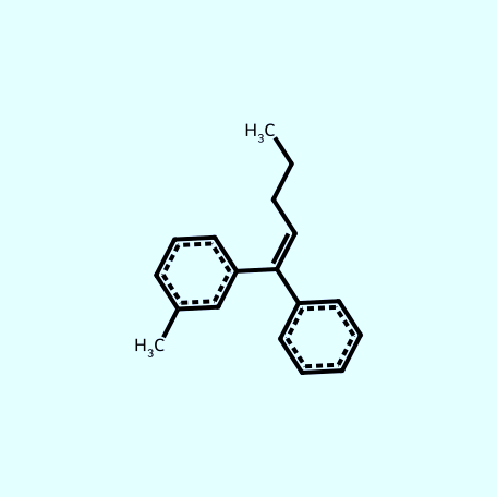 CCCC=C(c1ccccc1)c1cccc(C)c1